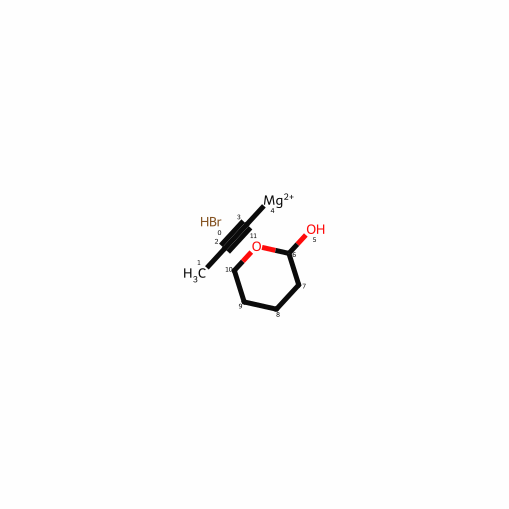 Br.CC#[C][Mg+2].OC1CCCCO1